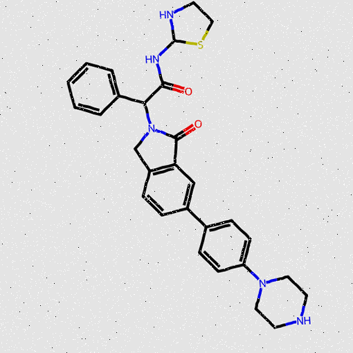 O=C(NC1NCCS1)C(c1ccccc1)N1Cc2ccc(-c3ccc(N4CCNCC4)cc3)cc2C1=O